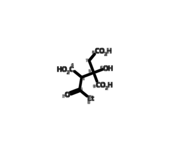 CCC(=O)C(C(=O)O)C(O)(CC(=O)O)C(=O)O